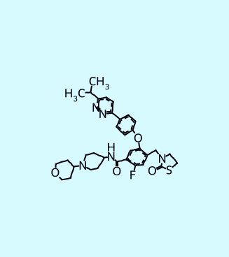 CC(C)c1ccc(-c2ccc(Oc3cc(C(=O)NC4CCN(C5CCOCC5)CC4)c(F)cc3CN3CCSC3=O)cc2)nn1